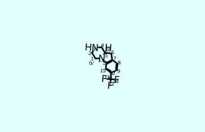 C[C@@H]1CNC[C@H]2Cc3ccc(C(F)(F)F)cc3N21